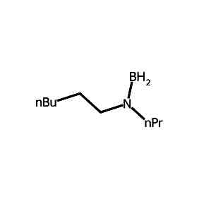 BN(CCC)CCCCCC